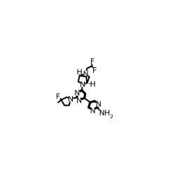 CC1(F)CCN(c2nc(-c3cnc(N)nc3)cc(N3C[C@@H]4C[C@H]3CN4CC(F)F)n2)C1